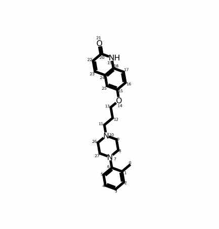 Cc1ccccc1N1CCN(CCCOc2ccc3[nH]c(=O)ccc3c2)CC1